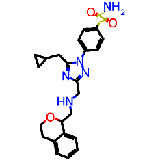 NS(=O)(=O)c1ccc(-n2nc(CNCC3OCCc4ccccc43)nc2CC2CC2)cc1